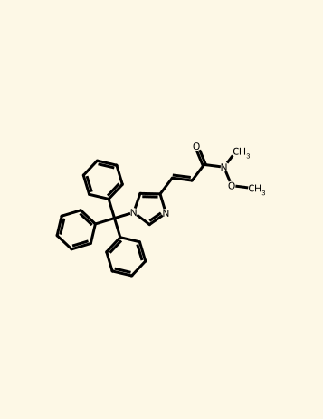 CON(C)C(=O)C=Cc1cn(C(c2ccccc2)(c2ccccc2)c2ccccc2)cn1